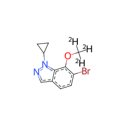 [2H]C([2H])([2H])Oc1c(Br)ccc2cnn(C3CC3)c12